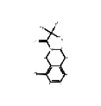 O=C(N1CCc2cccc(Cl)c2C1)C(F)(F)F